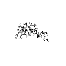 C=CC(=C\C=C/C)/C(=C/C=C(\C)c1ccc2c(c1)C1(C(C)=C(/C=N\C(=C)c3ccccc3)c3ccccc31)c1ccccc1-2)CC